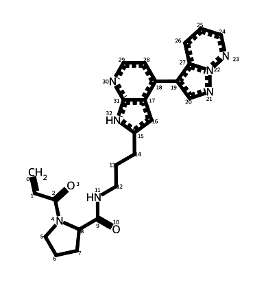 C=CC(=O)N1CCCC1C(=O)NCCCc1cc2c(-c3cnn4ncccc34)ccnc2[nH]1